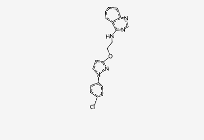 Clc1ccc(-n2ccc(OCCNc3ncnc4ccccc34)n2)cc1